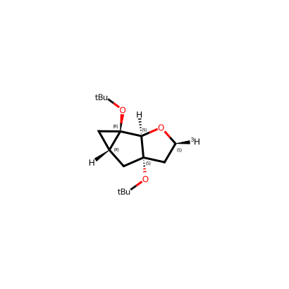 [3H][C@H]1C[C@@]2(OC(C)(C)C)C[C@@H]3C[C@]3(OC(C)(C)C)[C@H]2O1